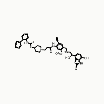 C#Cc1cc(CNC[C@H](O)c2ccc(O)c3[nH]c(=O)sc23)c(OC)cc1NC(=O)CCN1CCC(OC(=O)Nc2ccccc2-c2ccccc2)CC1